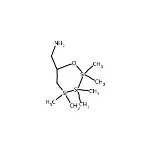 C[Si]1(C)CC(CN)O[Si](C)(C)[Si]1(C)C